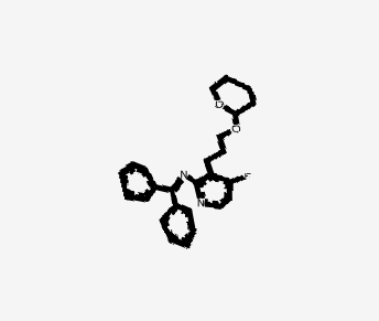 Fc1ccnc(N=C(c2ccccc2)c2ccccc2)c1CCCOC1CCCCO1